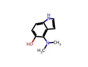 CN(C)c1c(O)ccc2[nH]ccc12